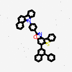 c1ccc(-c2cc(-c3cc4oc(-c5ccc(-n6c7ccccc7c7ccc8ccccc8c76)cc5)nc4c4c3sc3ccccc34)cc3ccccc23)cc1